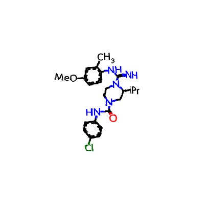 COc1ccc(NC(=N)N2CCN(C(=O)Nc3ccc(Cl)cc3)CC2C(C)C)c(C)c1